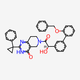 O=C([C@H](O)c1cccc(-c2ccccc2OCc2ccccc2)c1)N1CCc2nc(C3(c4ccccc4)CC3)[nH]c(=O)c2C1